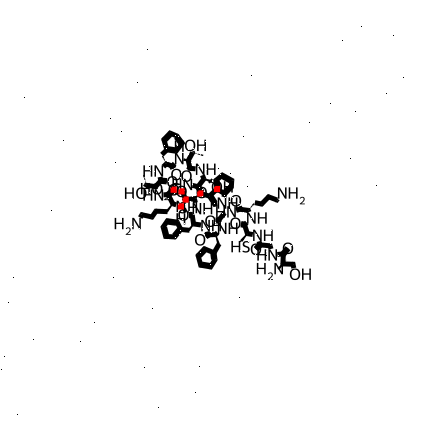 C[C@H](NC(=O)[C@H](CCCCN)NC(=O)[C@H](CS)NC(=O)CNC(=O)[C@H](N)CO)C(=O)N[C@@H](Cc1ccccc1)C(=O)N[C@@H](Cc1ccccc1)C(=O)N[C@H](Cc1c[nH]c2ccccc12)C(=O)N[C@@H](CCCCN)C(=O)N[C@H](C(=O)N[C@H](Cc1ccccc1)C(=O)N[C@H](C(=O)N[C@@H](CO)C(=O)N[C@H](CS)C(=O)O)[C@@H](C)O)[C@@H](C)O